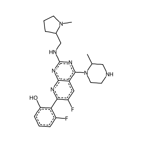 CC1CNCCN1c1nc(NCC2CCCN2C)nc2nc(-c3c(O)cccc3F)c(F)cc12